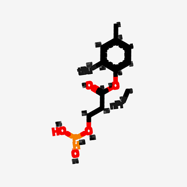 CCCC.Cc1ccc(OC(=O)CCO[PH](=O)O)c(C(C)(C)C)c1